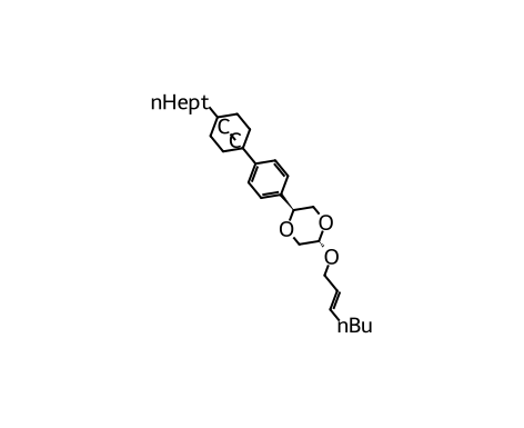 CCCCC=CCO[C@@H]1CO[C@@H](c2ccc(C34CCC(CCCCCCC)(CC3)CC4)cc2)CO1